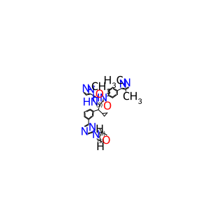 Cc1cnn(C)c1-c1ccc(NC(=O)[C@@H](NC(=O)c2ccnn2C)C(c2cccc(-c3cncc(N4C[C@@H]5C[C@H]4CO5)n3)c2)C2CC2)cc1